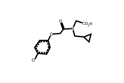 O=C(O)CN(CC1CC1)C(=O)COc1ccc(Cl)cc1